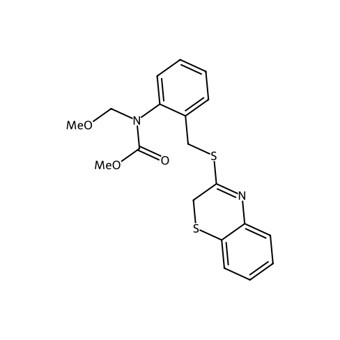 COCN(C(=O)OC)c1ccccc1CSC1=Nc2ccccc2SC1